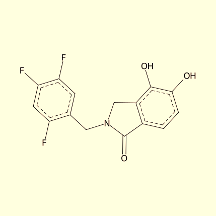 O=C1c2ccc(O)c(O)c2CN1Cc1cc(F)c(F)cc1F